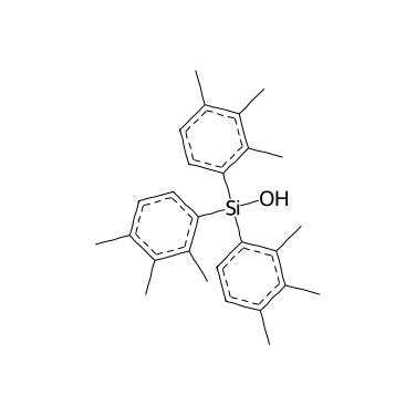 Cc1ccc([Si](O)(c2ccc(C)c(C)c2C)c2ccc(C)c(C)c2C)c(C)c1C